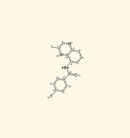 Cc1cnc2cccc(NC(=O)c3ccc(F)cc3)c2n1